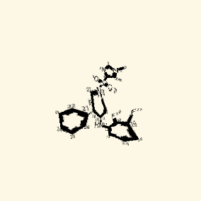 Cn1cnc(S(=O)(=O)N2C[C@@H](Nc3cccc(F)c3F)[C@H](c3ccccc3)C2)c1